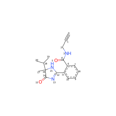 C#CCNC(=O)c1ccccc1C1=NC(=O)C(C)(C(C)C)N1